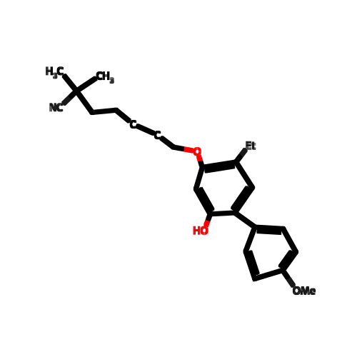 CCc1cc(-c2ccc(OC)cc2)c(O)cc1OCCCCCC(C)(C)C#N